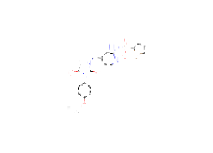 CC1C(=O)N(c2ccc(OC(F)(F)F)cc2)C(=O)N1Cc1ccnc(NS(=O)(=O)c2cccs2)c1